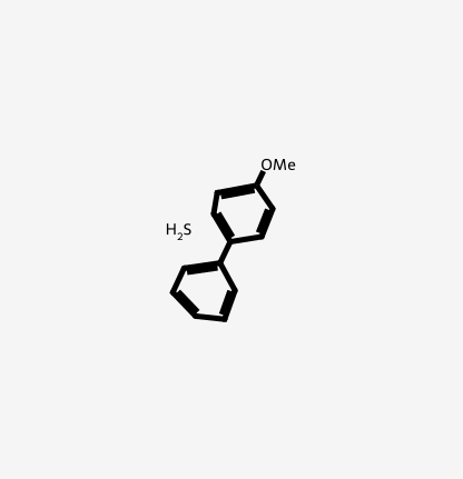 COc1ccc(-c2ccccc2)cc1.S